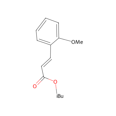 CCC(C)OC(=O)C=Cc1ccccc1OC